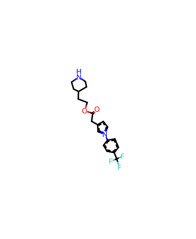 O=C(Cc1ccn(-c2ccc(C(F)(F)F)cc2)c1)OCCC1CCNCC1